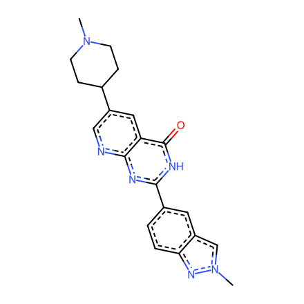 CN1CCC(c2cnc3nc(-c4ccc5nn(C)cc5c4)[nH]c(=O)c3c2)CC1